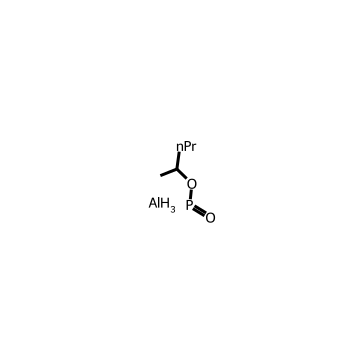 CCCC(C)OP=O.[AlH3]